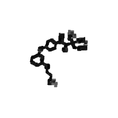 CCCOc1cccc(Oc2ccc(NC(=O)C(C)(N)CO)cc2)c1